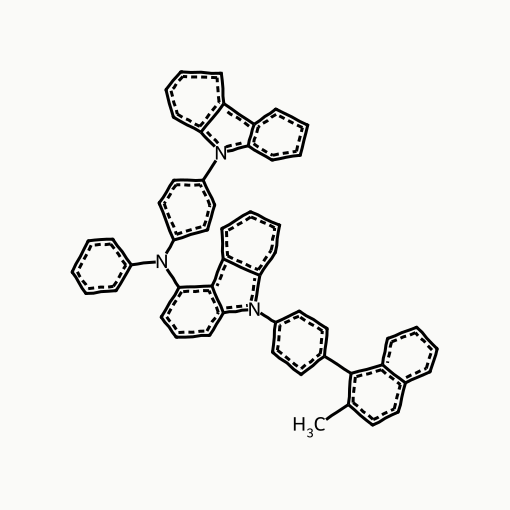 Cc1ccc2ccccc2c1-c1ccc(-n2c3ccccc3c3c(N(c4ccccc4)c4ccc(-n5c6ccccc6c6ccccc65)cc4)cccc32)cc1